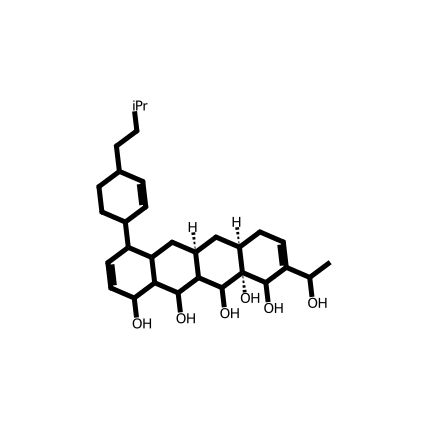 CC(C)CCC1C=CC(C2C=CC(O)C3C(O)C4C(O)[C@]5(O)C(O)C(C(C)O)=CC[C@@H]5C[C@@H]4CC23)CC1